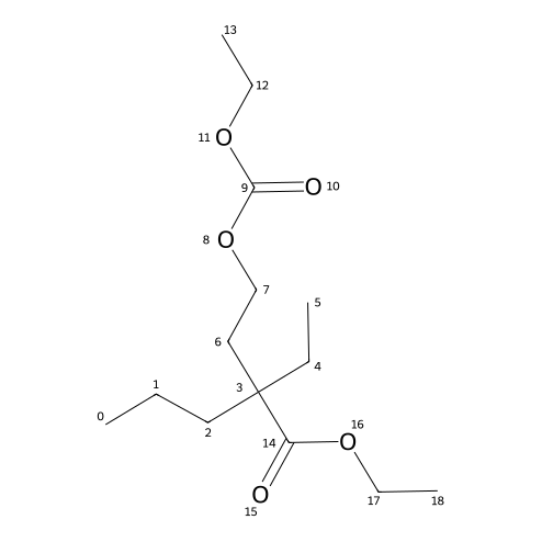 CCCC(CC)(CCOC(=O)OCC)C(=O)OCC